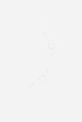 COc1cc(C=CC(=O)CC(=O)C=Cc2ccc(OC(=O)N3CCN(C)CC3)c(OC)c2)ccc1OC(=O)N1CCOCC1